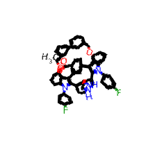 COC(=O)c1ccc(-c2c(C3=CNCC3)n(-c3ccc(F)cc3)c3cccc(OCc4ccccc4)c23)cc1-c1c(C2=CNCC2)n(-c2ccc(F)cc2)c2cccc(OCc3ccccc3)c12